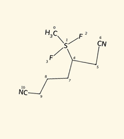 CS(F)(F)C(CC#N)CCCC#N